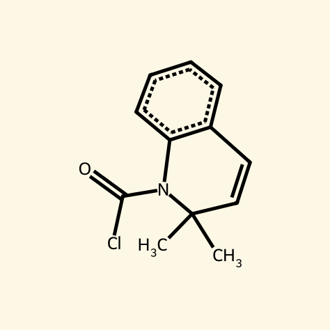 CC1(C)C=Cc2ccccc2N1C(=O)Cl